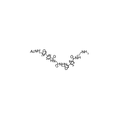 CC(=O)NCc1nc(-c2nc(C(=O)NCC(=O)NCc3nc(-c4nc(C(=O)NCCCN)cs4)co3)cs2)co1